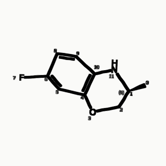 C[C@H]1COc2cc(F)ccc2N1